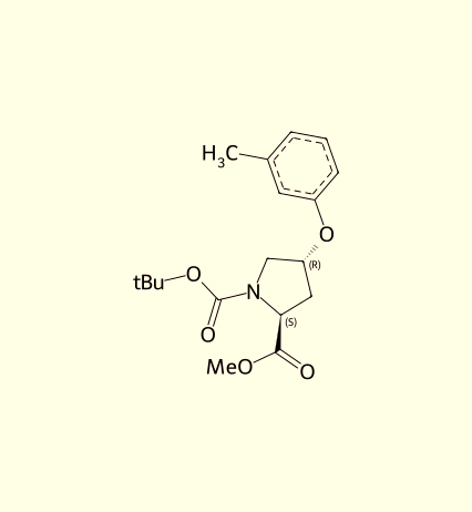 COC(=O)[C@@H]1C[C@@H](Oc2cccc(C)c2)CN1C(=O)OC(C)(C)C